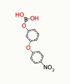 O=[N+]([O-])c1ccc(Oc2cccc(OB(O)O)c2)cc1